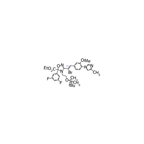 CCOC(=O)C1(c2cc(F)cc(F)c2)ON=C(/C(Br)=C/c2ccc(-n3cnc(C)c3)c(OC)c2)N1CCO[Si](C)(C)C(C)(C)C